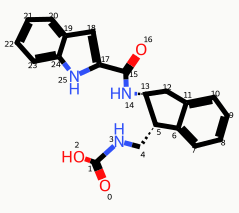 O=C(O)NC[C@H]1c2ccccc2C[C@H]1NC(=O)c1cc2ccccc2[nH]1